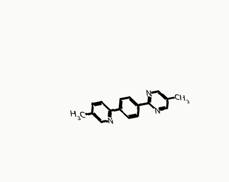 Cc1ccc(-c2ccc(-c3ncc(C)cn3)cc2)nc1